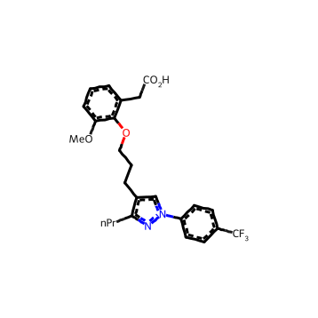 CCCc1nn(-c2ccc(C(F)(F)F)cc2)cc1CCCOc1c(CC(=O)O)cccc1OC